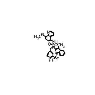 COc1ccc(NS(=O)(=O)N(Cc2ccc(F)c(C(F)(F)F)c2)c2sc3ccccc3c2C)c2cccnc12